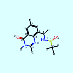 Cc1cc([C@@H](C)N[S+]([O-])C(C)(C)C)c2nc(C)n(C)c(=O)c2c1